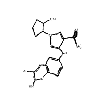 CC(C)C1=Cc2cc(Nc3nn(C4CCCC4C#N)cc3C(N)=O)ccc2OB1O